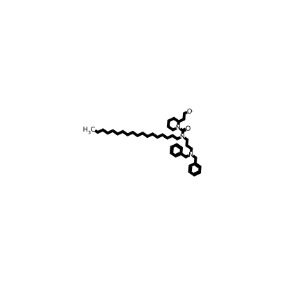 CCCCCCCCCCCCCCCCCCN(CCCN(Cc1ccccc1)Cc1ccccc1)C(=O)N1CCCCC1CC[O]